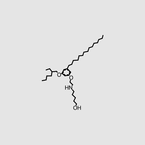 CCCCCCCCCCCCCCCc1cc(OCCNCCCCCO)cc(OCC(CC)CCCC)c1